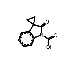 O=C(O)N1C(=O)C2(CC2)c2ccccc21